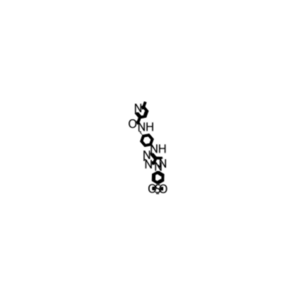 Cc1ccc(C(=O)NC[C@H]2CC[C@@H](Nc3ncnc4c3cnn4-c3ccc(S(C)(=O)=O)cc3)CC2)cn1